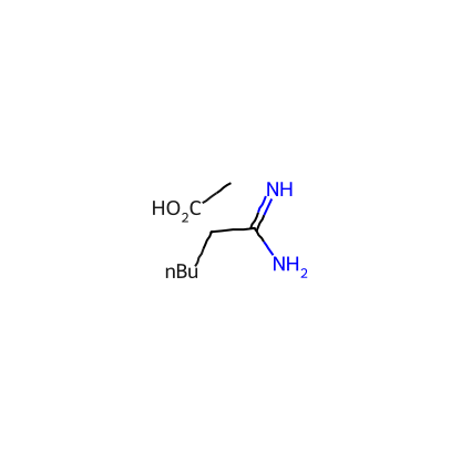 CC(=O)O.CCCCCC(=N)N